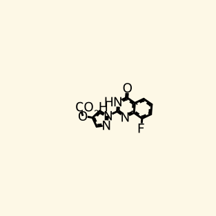 O=C(O)Oc1cnn(-c2nc3c(F)cccc3c(=O)[nH]2)c1